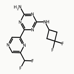 Nc1nc(NC2CC(F)(F)C2)nc(-c2cncc(C(F)F)n2)n1